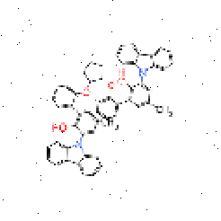 Cc1cc(-c2ccccc2OC2CCC[C@@H]2Oc2ccccc2-c2cc(C)cc(-n3c4ccccc4c4ccccc43)c2O)c(O)c(-n2c3ccccc3c3ccccc32)c1